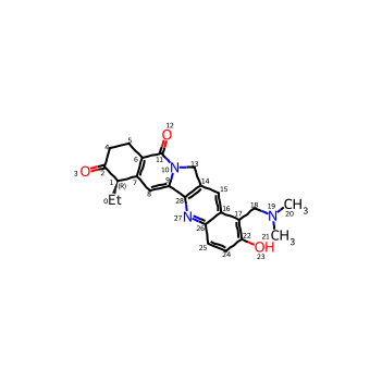 CC[C@H]1C(=O)CCc2c1cc1n(c2=O)Cc2cc3c(CN(C)C)c(O)ccc3nc2-1